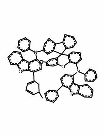 CC1C=CC=C(c2ccc(N(c3ccccc3)c3ccc4c(c3)C3(c5cc(Cl)ccc5Oc5c(N(c6ccccc6)c6ccc(-c7ccccc7)c7sc8ccccc8c67)cccc53)c3ccccc3-4)c3c2oc2ccccc23)C1